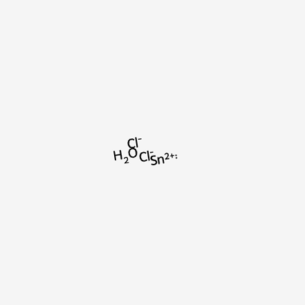 O.[Cl-].[Cl-].[Sn+2]